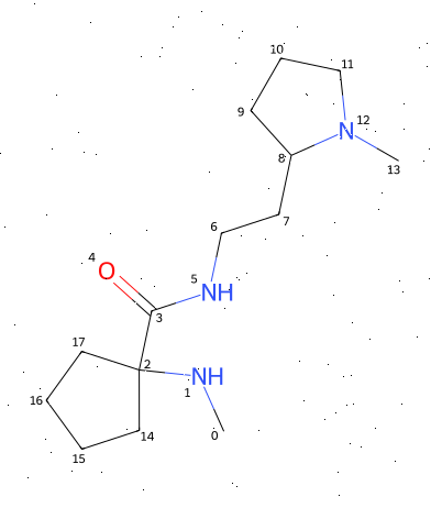 CNC1(C(=O)NCCC2CCCN2C)CCCC1